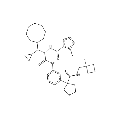 Cn1nccc1C(=O)N[C@H](C(=O)Nc1cccc(C2(C(=O)NCC3(C)CCC3)CCOC2)c1)C(C1CCCCCCC1)C1CC1